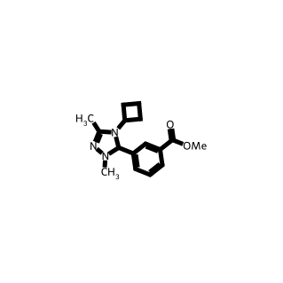 COC(=O)c1cccc(C2N(C)N=C(C)N2C2CCC2)c1